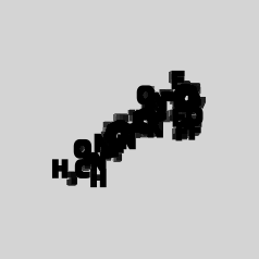 CC(=O)Nc1cn2nc(-c3cnc4c(c3)C(=O)N(Cc3cc(OC(F)(F)F)ccc3F)C4)ccc2n1